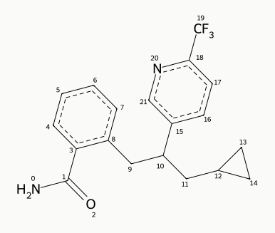 NC(=O)c1ccccc1CC(CC1CC1)c1ccc(C(F)(F)F)nc1